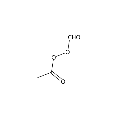 CC(=O)OO[C]=O